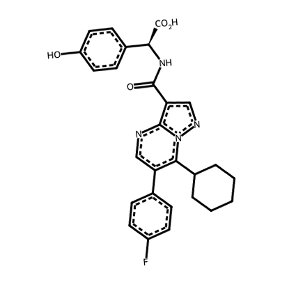 O=C(N[C@H](C(=O)O)c1ccc(O)cc1)c1cnn2c(C3CCCCC3)c(-c3ccc(F)cc3)cnc12